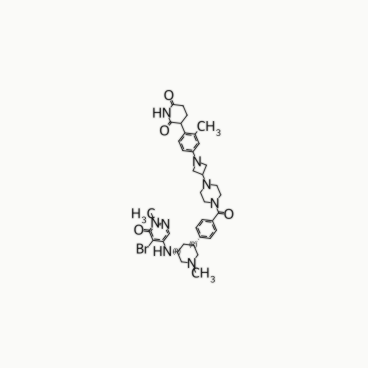 Cc1cc(N2CC(N3CCN(C(=O)c4ccc([C@H]5C[C@@H](Nc6cnn(C)c(=O)c6Br)CN(C)C5)cc4)CC3)C2)ccc1C1CCC(=O)NC1=O